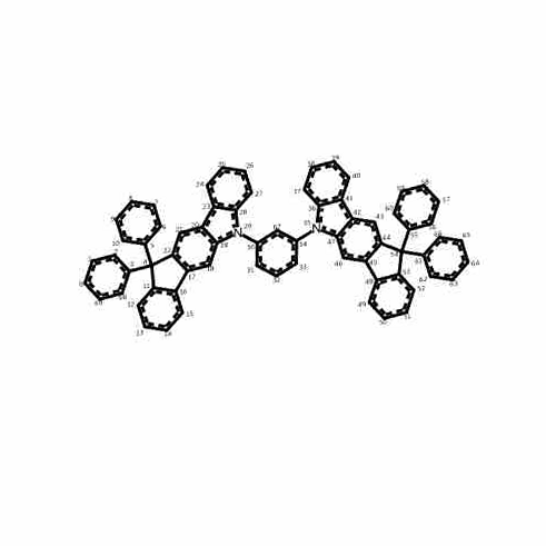 c1ccc(C2(c3ccccc3)c3ccccc3-c3cc4c(cc32)c2ccccc2n4-c2cccc(-n3c4ccccc4c4cc5c(cc43)-c3ccccc3C5(c3ccccc3)c3ccccc3)c2)cc1